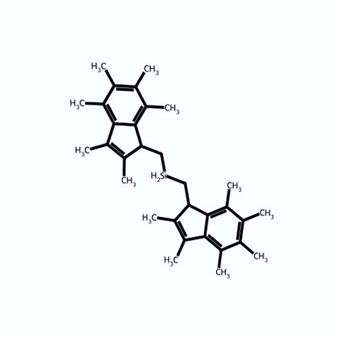 CC1=C(C)C(C[SiH2]CC2C(C)=C(C)c3c(C)c(C)c(C)c(C)c32)c2c(C)c(C)c(C)c(C)c21